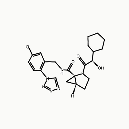 O=C([C@H](O)C1CCCCC1)N1CC[C@@H]2C[C@@]21C(=O)NCc1cc(Cl)ccc1-n1cnnn1